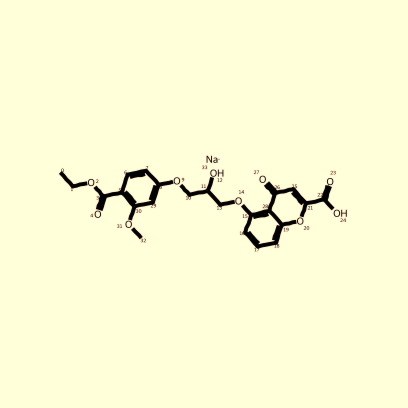 CCOC(=O)c1ccc(OCC(O)COc2cccc3oc(C(=O)O)cc(=O)c23)cc1OC.[Na]